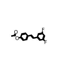 CC(=O)Oc1ccc(C=Cc2cc(F)cc(F)c2)cc1